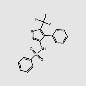 O=S(=O)(Nc1n[nH]c(C(F)(F)F)c1-c1ccccc1)c1ccccc1